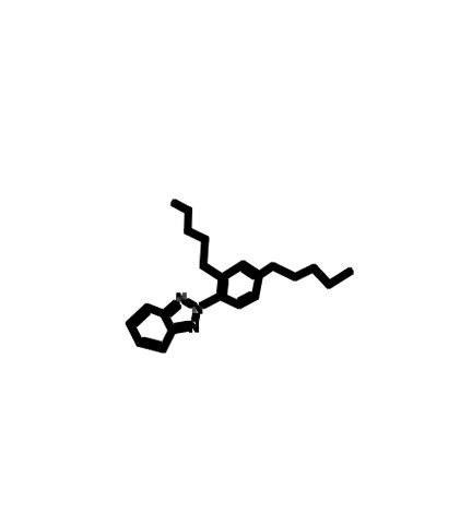 CCCCCc1ccc(-n2nc3ccccc3n2)c(CCCCC)c1